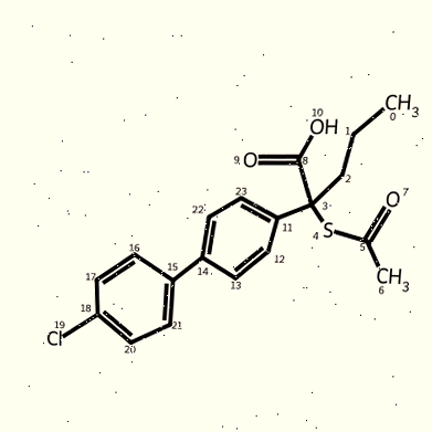 CCCC(SC(C)=O)(C(=O)O)c1ccc(-c2ccc(Cl)cc2)cc1